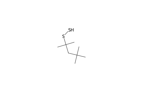 CC(C)(C)CC(C)(C)SS